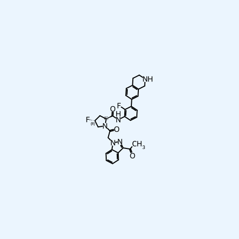 CC(=O)c1nn(CC(=O)N2C[C@H](F)C[C@H]2C(=O)Nc2cccc(-c3ccc4c(c3)CNCC4)c2F)c2ccccc12